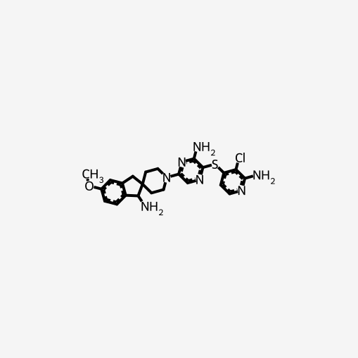 COc1ccc2c(c1)CC1(CCN(c3cnc(Sc4ccnc(N)c4Cl)c(N)n3)CC1)C2N